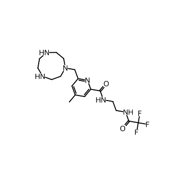 Cc1cc(CN2CCNCCNCC2)nc(C(=O)NCCNC(=O)C(F)(F)F)c1